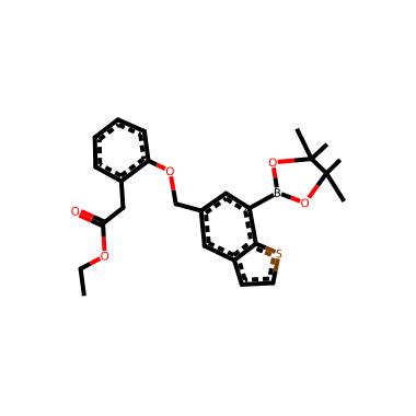 CCOC(=O)Cc1ccccc1OCc1cc(B2OC(C)(C)C(C)(C)O2)c2sccc2c1